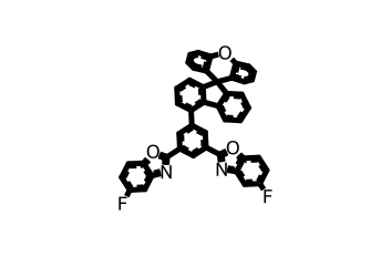 Fc1ccc2oc(-c3cc(-c4nc5cc(F)ccc5o4)cc(-c4cccc5c4-c4ccccc4C54c5ccccc5Oc5ccccc54)c3)nc2c1